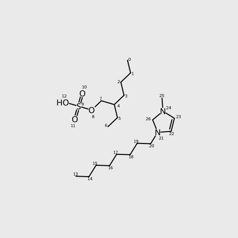 CCCCC(CC)COS(=O)(=O)O.CCCCCCCCN1C=CN(C)C1